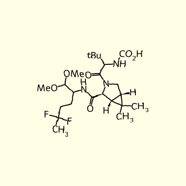 COC(OC)C(CCC(C)(F)F)NC(=O)[C@@H]1[C@@H]2[C@H](CN1C(=O)C(NC(=O)O)C(C)(C)C)C2(C)C